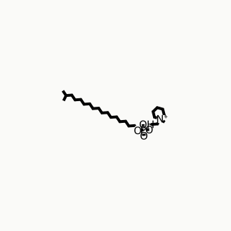 CC(C)CCCCCCCCCCCCCCCOP(=O)(O)OCC[N+]1(C)CCCCC1